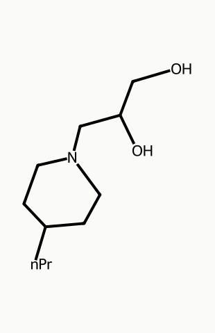 CCCC1CCN(CC(O)CO)CC1